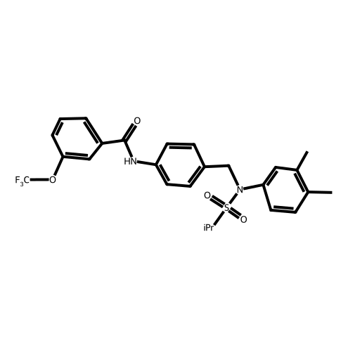 Cc1ccc(N(Cc2ccc(NC(=O)c3cccc(OC(F)(F)F)c3)cc2)S(=O)(=O)C(C)C)cc1C